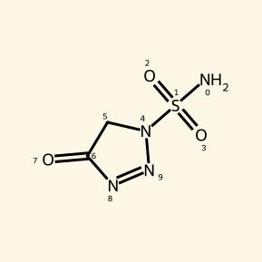 NS(=O)(=O)N1CC(=O)N=N1